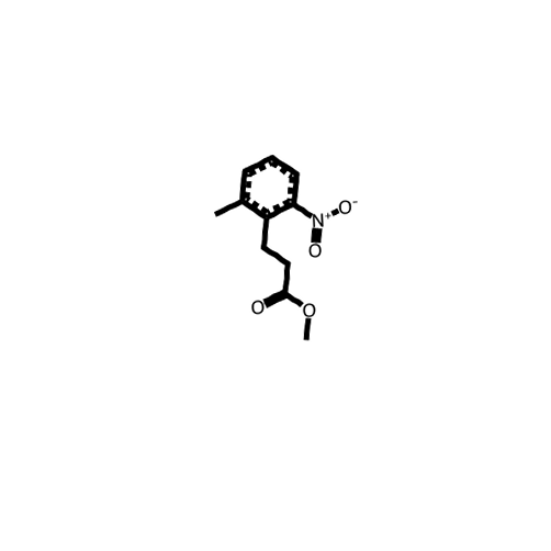 COC(=O)CCc1c(C)cccc1[N+](=O)[O-]